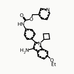 CCOc1ccc2c(N)c(-c3ccc(NC(=O)OCc4cccnc4)cc3)n(C3CCC3)c2c1